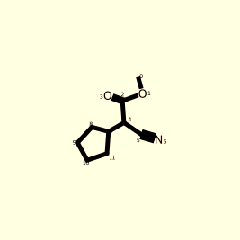 COC(=O)C(C#N)C1CCCC1